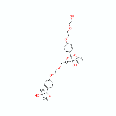 COC(OCCOCCOC1=CC=C(C(=O)C(C)(C)O)CC1)(c1ccc(OCCOCCO)cc1)C(C)(C)O